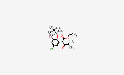 CCOC(=O)C(C(=O)C(C)C)c1cc(Cl)cc(Br)c1O[Si](C)(C)C(C)(C)C